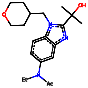 CCN(C(C)=O)c1ccc2c(c1)nc(C(C)(C)O)n2CC1CCOCC1